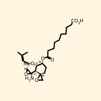 CO[C@@H]1[C@H](OC(=O)CCCCCCCCC(=O)O)CC[C@]2(CO2)[C@H]1[C@@]1(N)O[C@@H]1CC=C(C)C